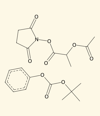 CC(=O)OC(C)C(=O)ON1C(=O)CCC1=O.CC(C)(C)OC(=O)Oc1ccccc1